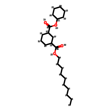 CCCCCCCCCCOC(=O)C1CCCC(C(=O)OC2CCCCC2)C1